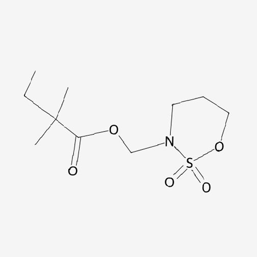 CCC(C)(C)C(=O)OCN1CCCOS1(=O)=O